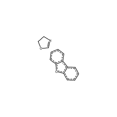 C1=NCCO1.c1ccc2c(c1)oc1ccccc12